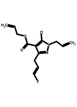 C=CCOC(=O)c1c(CC=CF)nn(CC=C)c1Cl